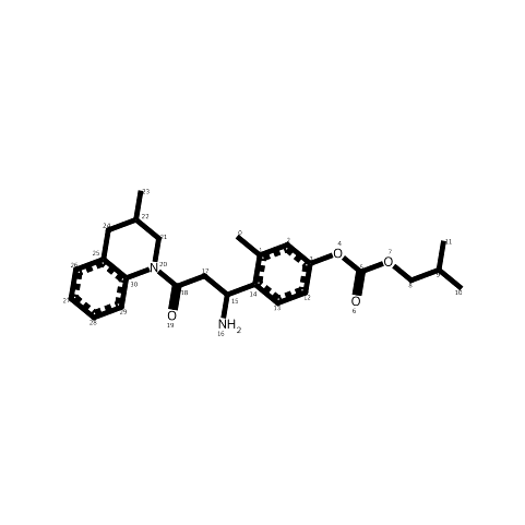 Cc1cc(OC(=O)OCC(C)C)ccc1C(N)CC(=O)N1CC(C)Cc2ccccc21